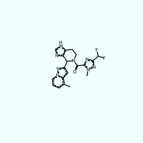 Cc1cccn2nc(C3c4nc[nH]c4CCN3C(=O)c3nc(C(F)F)nn3C)cc12